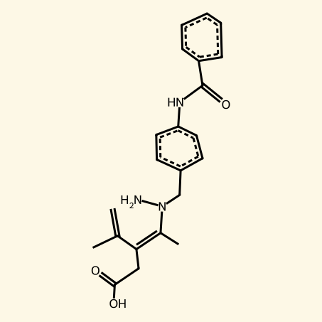 C=C(C)/C(CC(=O)O)=C(/C)N(N)Cc1ccc(NC(=O)c2ccccc2)cc1